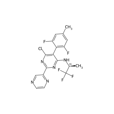 Cc1cc(F)c(-c2c(Cl)nc(-c3cnccn3)nc2N[C@@H](C)C(F)(F)F)c(F)c1